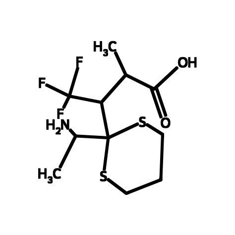 CC(C(=O)O)C(C(F)(F)F)C1(C(C)N)SCCCS1